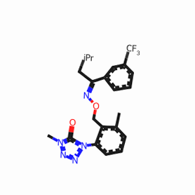 Cc1cccc(-n2nnn(C)c2=O)c1CON=C(CC(C)C)c1cccc(C(F)(F)F)c1